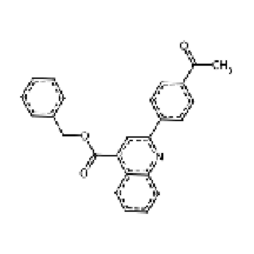 CC(=O)c1ccc(-c2cc(C(=O)OCc3ccccc3)c3ccccc3n2)cc1